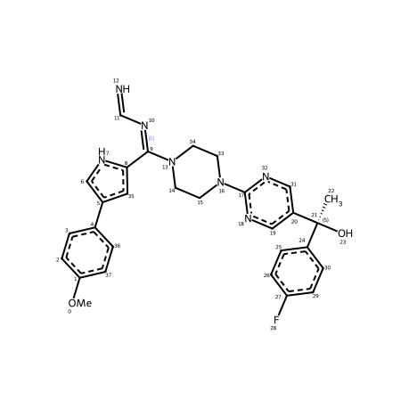 COc1ccc(-c2c[nH]c(/C(=N\C=N)N3CCN(c4ncc([C@@](C)(O)c5ccc(F)cc5)cn4)CC3)c2)cc1